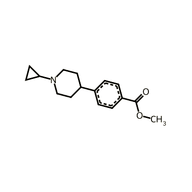 COC(=O)c1ccc(C2CCN(C3CC3)CC2)cc1